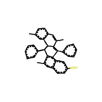 CC1=Cc2ccc(C)cc2C2C1=C(c1ccccc1)c1c(c(C)cc3ccc(S)cc13)C2c1ccccc1